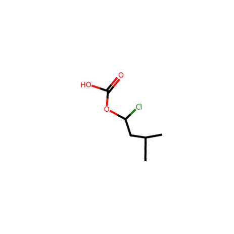 CC(C)CC(Cl)OC(=O)O